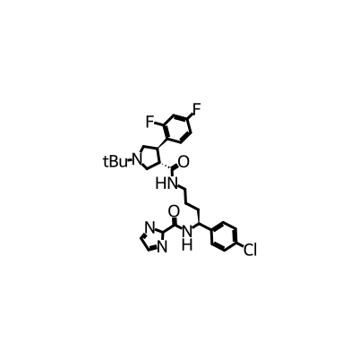 CC(C)(C)N1C[C@@H](C(=O)NCCC[C@H](NC(=O)C2N=CC=N2)c2ccc(Cl)cc2)[C@H](c2ccc(F)cc2F)C1